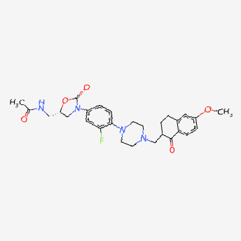 COc1ccc2c(c1)CCC(CN1CCN(c3ccc(N4C[C@H](CNC(C)=O)OC4=O)cc3F)CC1)C2=O